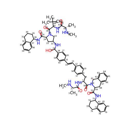 CN[C@@H](C)C(=O)NC(Cc1ccc(/C=C/c2ccc(C(O)NC3CC(C(=O)NC4CCCc5ccccc54)N(C(=O)C(NC(=O)[C@H](C)NC)C(C)(C)C)C3)cc2)cc1)C(=O)N1Cc2ccccc2CC1C(=O)NC1CCCc2ccccc21